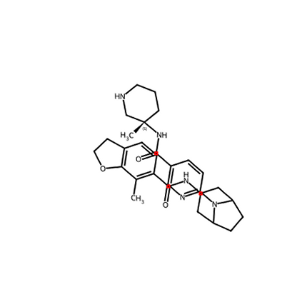 Cc1c(C(=O)NC2CC3CCC(C2)N3c2ccc(C(=O)N[C@@]3(C)CCCNC3)cn2)ccc2c1OCC2